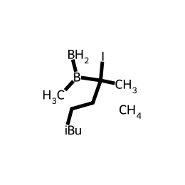 BB(C)C(C)(I)CCC(C)CC.C